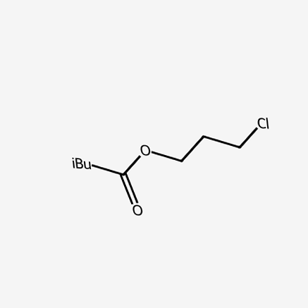 CCC(C)C(=O)OCCCCl